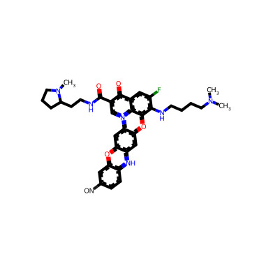 CN(C)CCCCNc1c(F)cc2c(=O)c(C(=O)NCCC3CCCN3C)cn3c4cc5oc6cc(N=O)ccc6[nH]c5cc4oc1c23